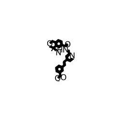 COC(=O)c1cccc(/C=C/c2ccnc(CNC(=O)c3ccc4c(c3)[C@](C)(C#N)COC4)c2)c1